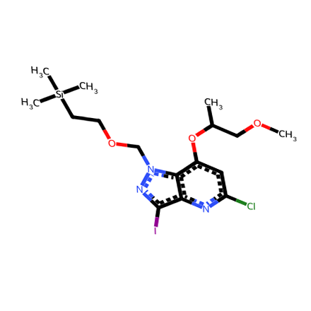 COCC(C)Oc1cc(Cl)nc2c(I)nn(COCC[Si](C)(C)C)c12